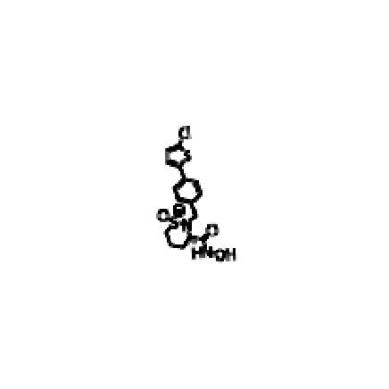 O=C(NO)[C@H]1CCCS(=O)(=O)N1Cc1ccc(-c2ccc(Cl)s2)cc1